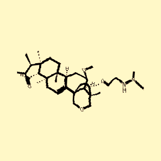 CO[C@@H]1C[C@]23COC[C@](C)([C@@H]2CC[C@H]2C3=CC[C@@]3(C)[C@H](C(=O)O)[C@@](C)([C@H](C)C(C)C)CC[C@]23C)[C@H]1OCCNN(C)C